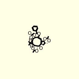 CC(=O)O[C@H]1[C@H]2[C@@H]([C@H](OC(C)=O)[C@@H](OC(=O)c3ccccc3)/C(C)=C\[C@]34O[C@]3(C[C@@H](C)[C@H]4OC(C)=O)C(=O)[C@@H]1C)C2(C)C